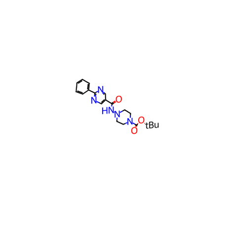 CC(C)(C)OC(=O)N1CCN(NC(=O)c2cnc(-c3ccccc3)nc2)CC1